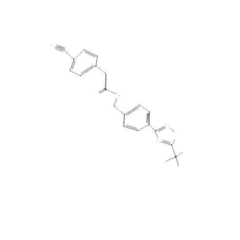 N#Cc1ccc(CC(=O)NCc2ccc(-c3noc(C(F)(F)F)n3)cc2)cc1